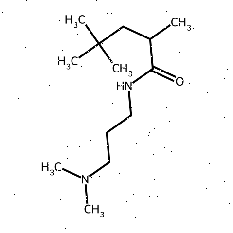 CC(CC(C)(C)C)C(=O)NCCCN(C)C